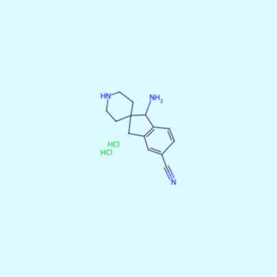 Cl.Cl.N#Cc1ccc2c(c1)CC1(CCNCC1)C2N